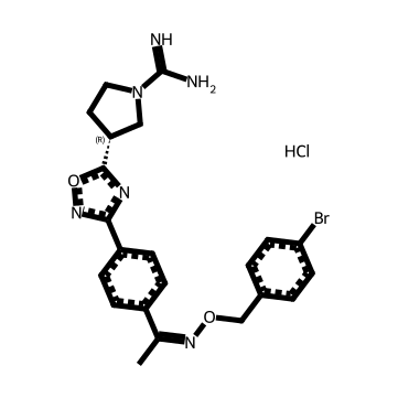 CC(=NOCc1ccc(Br)cc1)c1ccc(-c2noc([C@@H]3CCN(C(=N)N)C3)n2)cc1.Cl